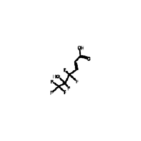 O=C(O)C=CC(F)(F)C(O)(F)C(F)(F)F